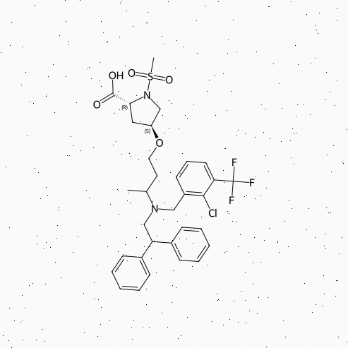 CC(CCO[C@H]1C[C@H](C(=O)O)N(S(C)(=O)=O)C1)N(Cc1cccc(C(F)(F)F)c1Cl)CC(c1ccccc1)c1ccccc1